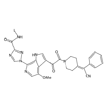 COc1cnc(-n2cnc(C(=O)NI)n2)c2[nH]cc(C(=O)C(=O)N3CCC(=C(C#N)c4ccccc4)CC3)c12